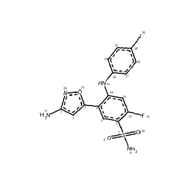 Nc1cc(-c2cc(S(N)(=O)=O)c(F)cc2Nc2ccc(I)cc2)on1